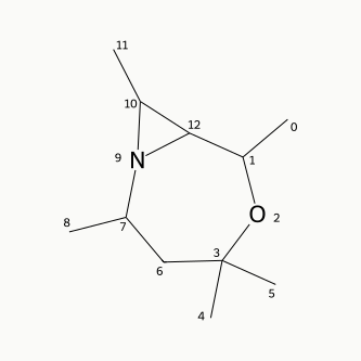 CC1OC(C)(C)CC(C)N2C(C)C12